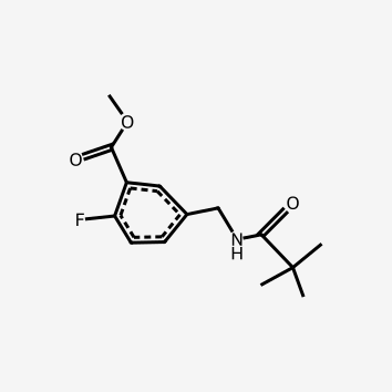 COC(=O)c1cc(CNC(=O)C(C)(C)C)ccc1F